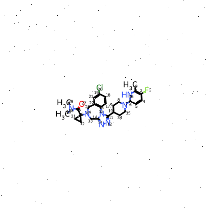 CC1=C(F)C=CC(N2CCC(c3nnc4n3-c3ccc(Cl)cc3CN(C3(C(=O)N(C)C)CC3)C4)CC2)N1